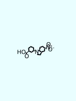 O=C(O)c1cccc(-n2ccc3cc([N+](=O)[O-])ccc32)c1